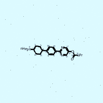 CCCCCCCC1CCC(c2ccc(-c3ncc(OC(=O)CCC)cn3)cc2)CC1